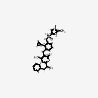 CCC(Cc1ccccc1)c1cc(O)c(Cc2cccc(CS(=O)(=O)c3c[nH]c(C)n3)c2C2CC2)c(=O)o1